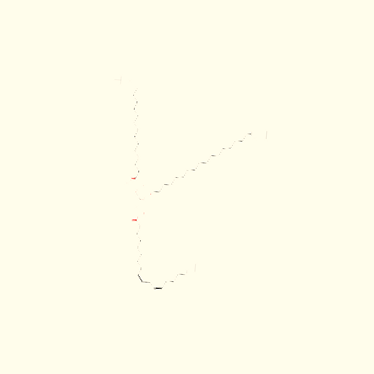 CCCCC/C=C\C/C=C\CCCCCCCC(=O)OC[C@H](COC(=O)CCCCCCCCCCCCCC)OCCCCCCCCCCCCCCCCCC